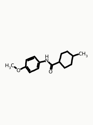 COc1ccc(NC(=O)C2CCC(C)CC2)cc1